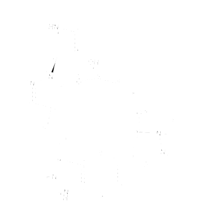 Cc1nn([C@H]2CNC[C@@H]2O)c2c1/C=C/c1n[nH]c3ccc(cc13)-c1cnn(C)c1OCCCO2